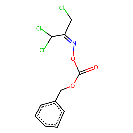 O=C(OCc1ccccc1)ON=C(CCl)C(Cl)Cl